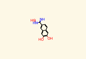 N=C(NO)c1ccc2cc(O)c(O)cc2c1